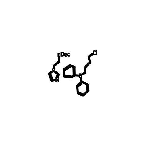 CCCCCCCCCCCCn1ccnc1.ClCCCCB(c1ccccc1)c1ccccc1